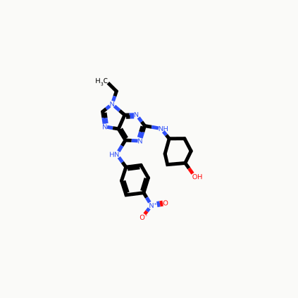 CCn1cnc2c(Nc3ccc([N+](=O)[O-])cc3)nc(NC3CCC(O)CC3)nc21